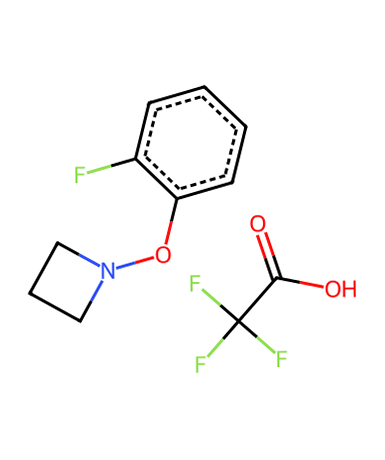 Fc1ccccc1ON1CCC1.O=C(O)C(F)(F)F